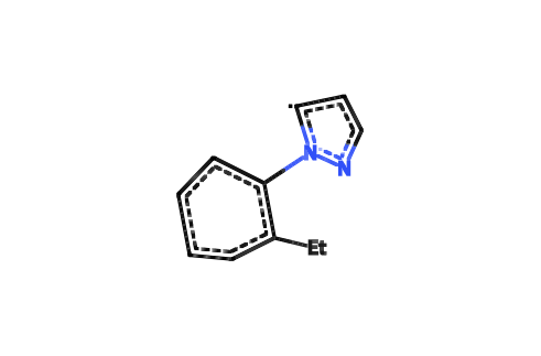 CCc1ccccc1-n1[c]ccn1